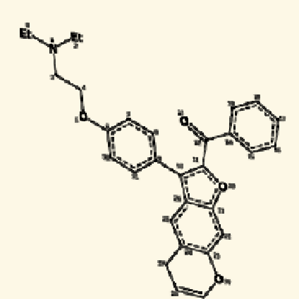 CCN(CC)CCOc1ccc(-c2c(C(=O)c3ccccc3)oc3cc4c(cc23)CC=CO4)cc1